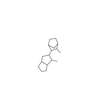 CC1C2CCCC2CC1C1C2CCC(C2)C1C